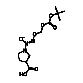 CC(C)(C)OC(=O)OCON=[N+]([O-])N1CCC(C(=O)O)C1